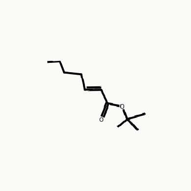 CCCCC=CC(=O)OC(C)(C)C